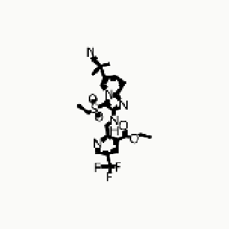 CCOC(=O)c1cc(C(F)(F)F)cnc1CNc1nc2ccc(C(C)(C)C#N)cn2c1S(=O)(=O)CC